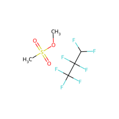 COS(C)(=O)=O.FC(F)C(F)(F)C(F)(F)F